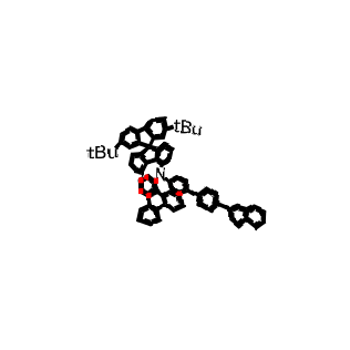 CC(C)(C)c1ccc2c(c1)C1(c3cc(C(C)(C)C)ccc3-2)c2ccccc2-c2c(N(c3ccc(-c4ccc(-c5ccc6ccccc6c5)cc4)cc3)c3ccccc3-c3ccccc3-c3ccccc3-c3ccccc3)cccc21